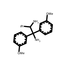 COc1cccc(C(N)(c2cccc(OC)c2)C(N)C(C)C)c1